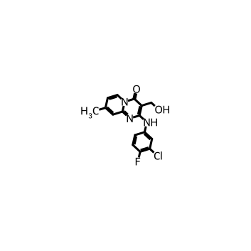 Cc1ccn2c(=O)c(CO)c(Nc3ccc(F)c(Cl)c3)nc2c1